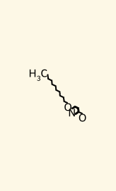 CCCCCCCCCCCCOc1ccc(C=O)cn1